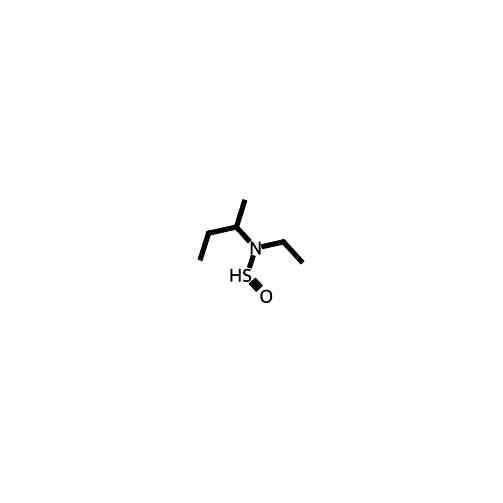 CCC(C)N(CC)[SH]=O